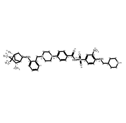 C[C@H]1C2C[C@H](CC2Nc2ccccc2CN2CCN(c3ccc(C(=O)NS(=O)(=O)c4ccc(NCC5CCOCC5)c([N+](=O)[O-])c4)cc3)CC2)C1(C)C